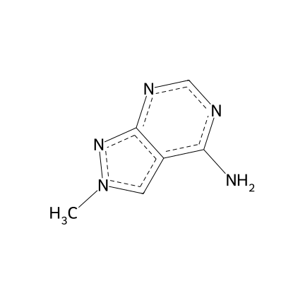 Cn1cc2c(N)ncnc2n1